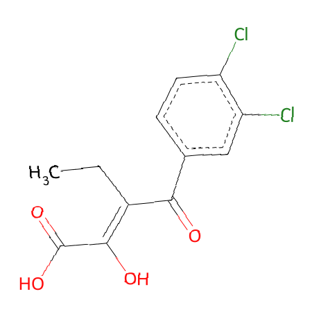 CC/C(C(=O)c1ccc(Cl)c(Cl)c1)=C(/O)C(=O)O